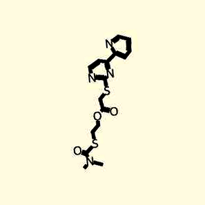 CN(C)C(=O)SCCOC(=O)CSc1nccc(-c2ccccn2)n1